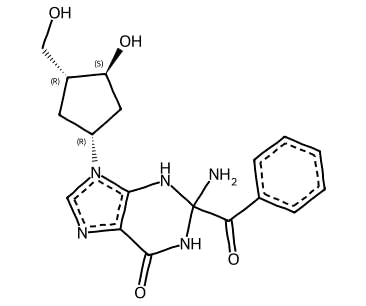 NC1(C(=O)c2ccccc2)NC(=O)c2ncn([C@@H]3C[C@H](CO)[C@@H](O)C3)c2N1